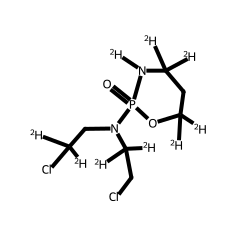 [2H]N1C([2H])([2H])CC([2H])([2H])OP1(=O)N(CC([2H])([2H])Cl)C([2H])([2H])CCl